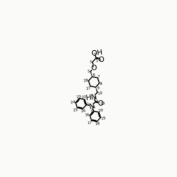 O=C(O)COC[C@H]1CC[C@@H](CNC(=O)N(c2ccccc2)c2ccccc2)CC1